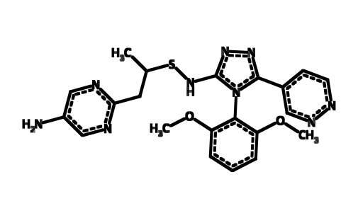 COc1cccc(OC)c1-n1c(NSC(C)Cc2ncc(N)cn2)nnc1-c1ccnnc1